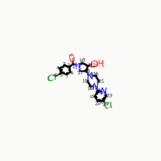 O=C(c1ccc(Cl)cc1)N1CC(O)C(N2CCN(c3ccc(Cl)cn3)CC2)C1